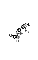 C[C@@H]1CN(c2ccc3nc(-c4n[nH]c5ccc(Cl)cc45)[nH]c3c2)CCN1C